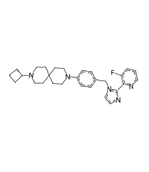 Fc1cccnc1-c1nccn1Cc1ccc(N2CCC3(CC2)CCN(C2CCC2)CC3)cc1